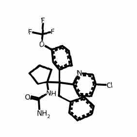 NC(=O)NC1(C(Cc2ccccc2)(c2cccc(OC(F)(F)F)c2)c2ccc(Cl)cn2)CCCC1